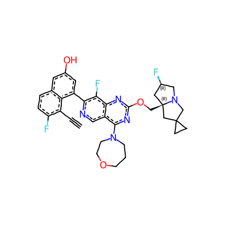 C#Cc1c(F)ccc2cc(O)cc(-c3ncc4c(N5CCCOCC5)nc(OC[C@@]56C[C@@H](F)CN5CC5(CC5)C6)nc4c3F)c12